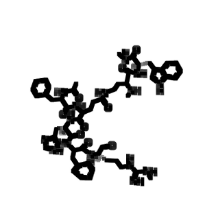 CNC(=N)NCCC[C@@H](C=O)NC(=O)C(Cc1ccccc1)NC(=O)[C@H](Cc1c[nH]cn1)NC(=O)C(CCC(=O)NCCC(NC)C(=O)N[C@@H](Cc1c[nH]c2ccccc12)C(=O)NC)NC(=O)C(Cc1ccccc1)NC(C)=O